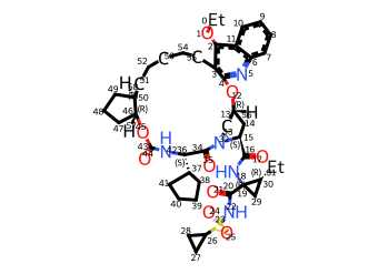 CCOc1c2c(nc3ccccc13)O[C@@H]1C[C@@H](C(=O)N[C@]3(C(=O)NS(=O)(=O)C4CC4)C[C@H]3CC)N(C1)C(=O)[C@H](C1CCCC1)NC(=O)O[C@@H]1CCC[C@H]1CCCCC2